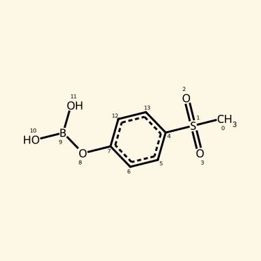 CS(=O)(=O)c1ccc(OB(O)O)cc1